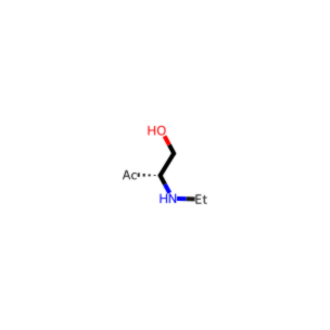 CCN[C@@H](CO)C(C)=O